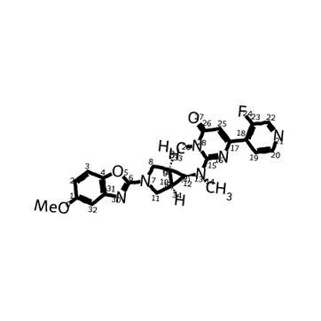 COc1ccc2oc(N3C[C@@H]4[C@H](C3)[C@@H]4N(C)c3nc(-c4ccncc4F)cc(=O)n3C)nc2c1